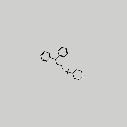 CCC(OCCC(c1ccccc1)c1ccccc1)(C(=O)O)C1CCNCC1.Cl